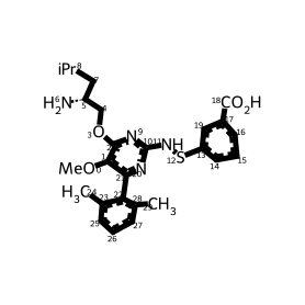 COc1c(OC[C@H](N)CC(C)C)nc(NSc2cccc(C(=O)O)c2)nc1-c1c(C)cccc1C